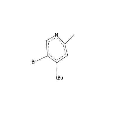 Cc1cc(C(C)(C)C)c(Br)cn1